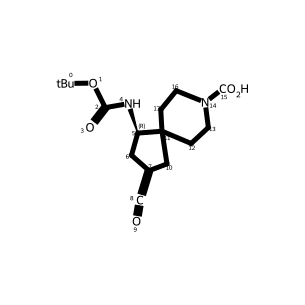 CC(C)(C)OC(=O)N[C@@H]1CC(=C=O)CC12CCN(C(=O)O)CC2